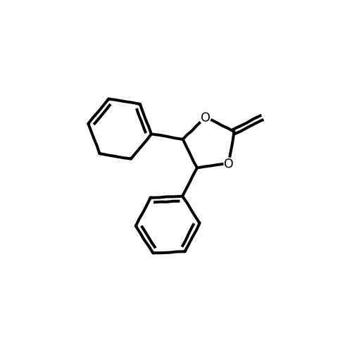 C=C1OC(C2=CC=CCC2)C(c2ccccc2)O1